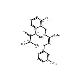 CSC(=NCc1cccc(C)c1)SCc1c(C)cccc1N(N)C(=O)N(C)N